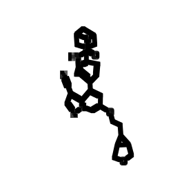 N#Cc1cnn2cc(OCCC3C4COCC34)cc(-c3ccc(N4CC5CC(C4)N5C(=O)NC4CC4)nc3)c12